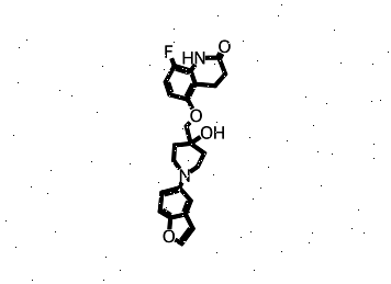 O=C1CCc2c(OCC3(O)CCN(c4ccc5occc5c4)CC3)ccc(F)c2N1